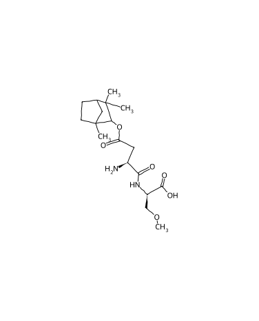 COC[C@@H](NC(=O)[C@@H](N)CC(=O)OC1C2(C)CCC(C2)C1(C)C)C(=O)O